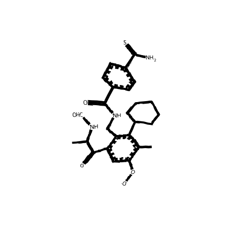 Cc1c(O[O])[c]c(C(=O)C(C)NC=O)c(CNC(=O)c2ccc(C(N)=S)cc2)c1C1CCCCC1